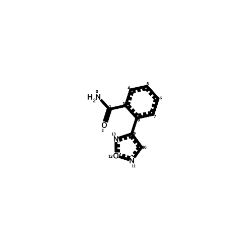 NC(=O)c1ccccc1-c1cnon1